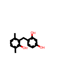 Cc1ccc(C)c(Cc2ccc(O)cc2O)c1O